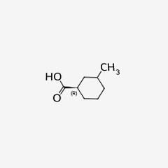 CC1CCC[C@@H](C(=O)O)C1